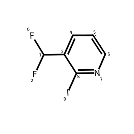 FC(F)c1c[c]cnc1I